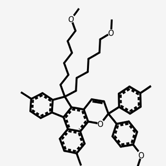 COCCCCCCC1(CCCCCCOC)c2cc(C)ccc2-c2c1c1c(c3cc(C)ccc23)OC(c2ccc(C)cc2)(c2ccc(OC)cc2)C=C1